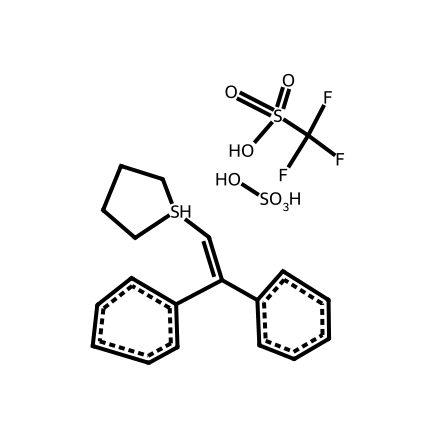 C(=C(c1ccccc1)c1ccccc1)[SH]1CCCC1.O=S(=O)(O)C(F)(F)F.O=S(=O)(O)O